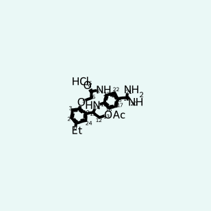 CCc1ccc(OCC(N)=O)c(C(COC(C)=O)Nc2ccc(C(=N)N)cc2)c1.Cl